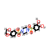 COc1ccc(S(=O)(=O)N2CCN(S(=O)(=O)c3ccc4c(c3)OCCO4)CC2)cc1OC